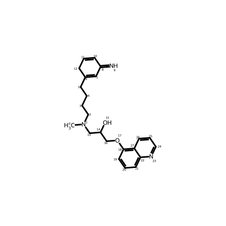 CN(CCCCC1=CC(=N)C=CC1)CC(O)COc1cccc2ncccc12